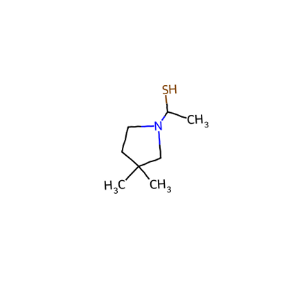 CC(S)N1CCC(C)(C)C1